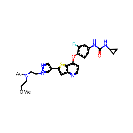 COCCN(CCn1cc(-c2cc3nccc(Oc4ccc(NC(=O)NC5CC5)cc4F)c3s2)cn1)C(C)=O